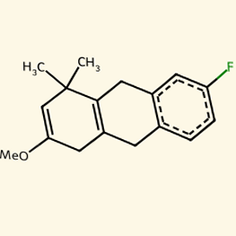 COC1=CC(C)(C)C2=C(C1)Cc1ccc(F)cc1C2